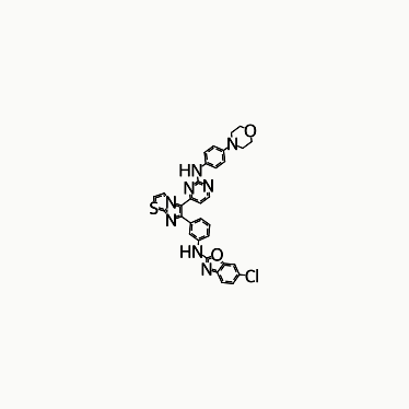 Clc1ccc2nc(Nc3cccc(-c4nc5sccn5c4-c4ccnc(Nc5ccc(N6CCOCC6)cc5)n4)c3)oc2c1